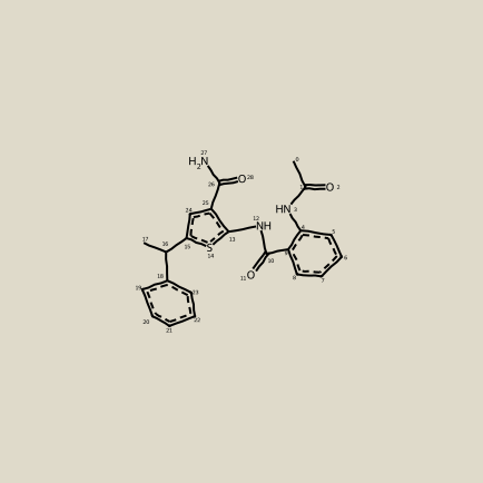 CC(=O)Nc1ccccc1C(=O)Nc1sc(C(C)c2ccccc2)cc1C(N)=O